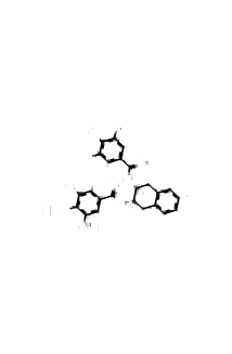 Cc1c(O)cc(C(=O)O[C@@H]2Cc3ccccc3C[C@@H]2OC(=O)c2cc(O)c(O)c(O)c2)cc1O